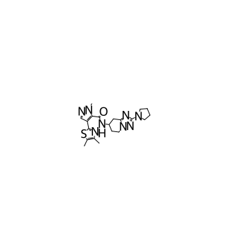 Cc1nc(-c2cnn(C)c2C(=O)NC2CCn3nc(N4CCCC4)nc3C2)sc1C